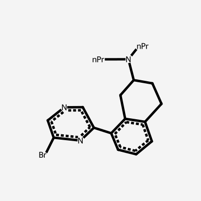 CCCN(CCC)C1CCc2cccc(-c3cncc(Br)n3)c2C1